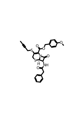 CC#CCSC1=C(C(=O)OCc2ccc(OC)cc2)N2C(=O)[C@@H](NC(=O)Cc3ccccc3)[C@H]2SC1